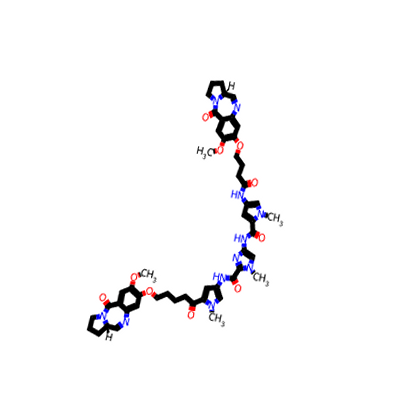 COc1cc2c(cc1OCCCCC(=O)c1cc(NC(=O)c3nc(NC(=O)c4cc(NC(=O)CCCOc5cc6c(cc5OC)C(=O)N5CCC[C@H]5C=N6)cn4C)cn3C)cn1C)N=C[C@@H]1CCCN1C2=O